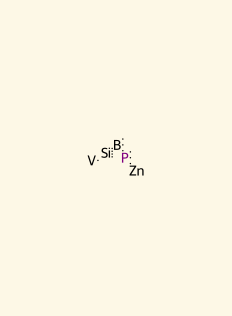 [B].[P].[Si].[V].[Zn]